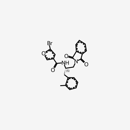 Cc1ccccc1C[C@@H](CN1C(=O)c2ccccc2C1=O)NC(=O)c1coc(Br)c1